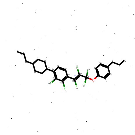 CCCc1ccc(OC(F)(F)/C(F)=C(\F)c2ccc(C3CCC(CCC)CC3)c(F)c2F)cc1